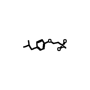 CC(C)Cc1ccc(OCCS(C)(=O)=O)cc1